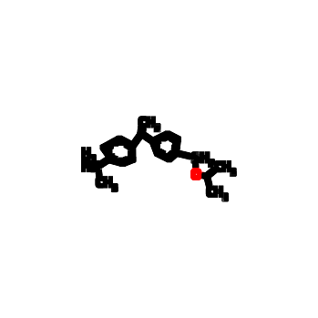 C=C(c1ccc([SiH2]OC(C)C)cc1)c1ccc([SiH](C)C)cc1